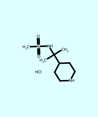 CC(C)(NS(C)(=O)=O)C1CCNCC1.Cl